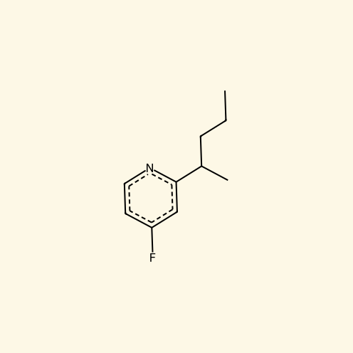 CCCC(C)c1cc(F)ccn1